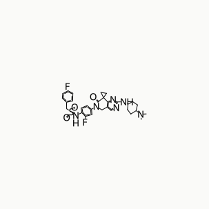 CN(C)C1CCC(Nc2ncc3c(n2)C2(CC2)C(=O)N(c2ccc(NS(=O)(=O)Cc4ccc(F)cc4)c(F)c2)C3)CC1